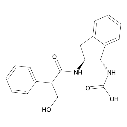 O=C(O)N[C@H]1c2ccccc2C[C@@H]1NC(=O)C(CO)c1ccccc1